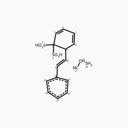 N#CO.O=S(=O)(O)C1(S(=O)(=O)O)C=CC=CC1C=Cc1ccccc1.S